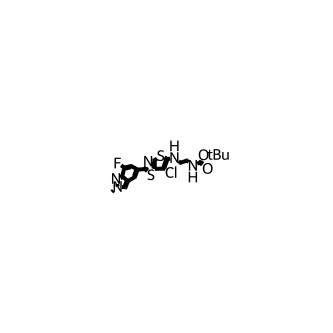 Cn1cc2cc(-c3nc4sc(NCCNC(=O)OC(C)(C)C)c(Cl)c4s3)cc(F)c2n1